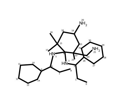 CCC(NC1(NC(CC)C2CCCCC2)C(C)(C)CC(N)CC1(C)CN)C1CCCCC1